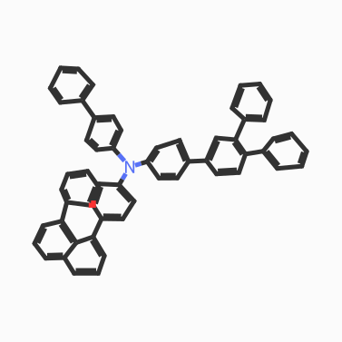 c1ccc(-c2ccc(N(c3ccc(-c4ccc(-c5ccccc5)c(-c5ccccc5)c4)cc3)c3ccc(-c4cccc5cccc(-c6ccccc6)c45)cc3)cc2)cc1